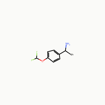 CC(C)C(N)c1ccc(OC(F)F)cc1